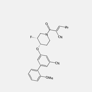 COc1ccccc1-c1cc(C#N)cc(O[C@H]2CCN(C(=O)/C(C#N)=C/C(C)C)C[C@H]2F)c1